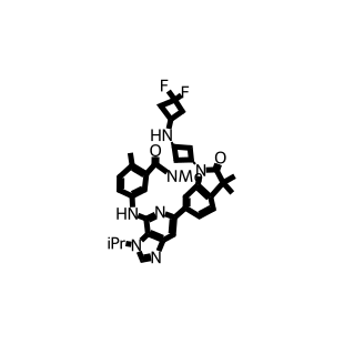 CNC(=O)c1cc(Nc2nc(-c3ccc4c(c3)N([C@H]3C[C@@H](NC5CC(F)(F)C5)C3)C(=O)C4(C)C)cc3ncn(C(C)C)c23)ccc1C